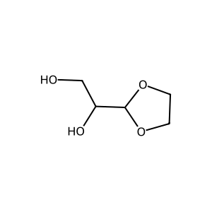 OCC(O)C1OCCO1